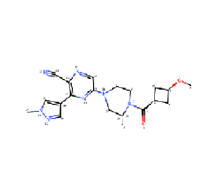 CO[C@H]1C[C@@H](C(=O)N2CCN(c3cnc(C#N)c(-c4cnn(C)c4)n3)C[C@H]2C)C1